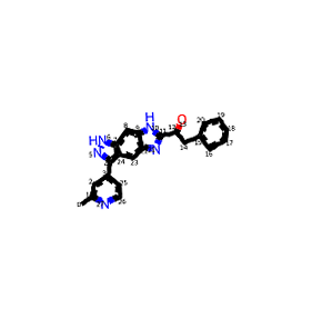 Cc1cc(-c2n[nH]c3cc4[nH]c(C(=O)Cc5ccccc5)nc4cc23)ccn1